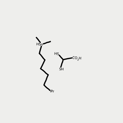 CC(C)CCCC[CH2][SnH]([CH3])[CH3].O=C(O)C(S)S